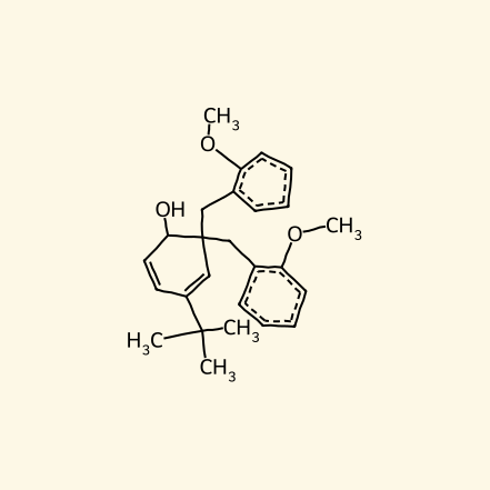 COc1ccccc1CC1(Cc2ccccc2OC)C=C(C(C)(C)C)C=CC1O